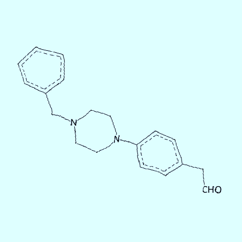 O=CCc1ccc(N2CCN(Cc3ccccc3)CC2)cc1